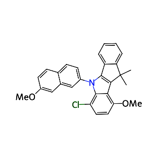 COc1ccc2ccc(-n3c4c(c5c(OC)ccc(Cl)c53)C(C)(C)c3ccccc3-4)cc2c1